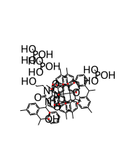 Cc1ccc(OC(c2ccc(C)cc2C(C)c2ccccc2)(c2ccc(C)cc2C(C)c2ccccc2)C(c2ccc(C)cc2C(C)c2ccccc2)(c2ccc(C)cc2C(C)c2ccccc2)n2c(=O)n(CCO)c(=O)n(C(CO)c3ccc(C)cc3C(C)c3ccccc3)c2=O)c(C(C)c2ccccc2)c1.OP(O)O.OP(O)O.OP(O)O